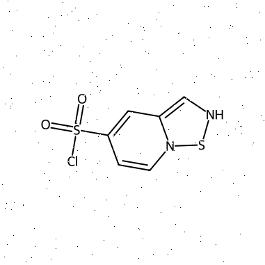 O=S(=O)(Cl)C1=CC2=CNSN2C=C1